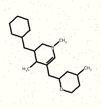 CC1CCOC(CC2=CN(C)CC(CC3CCCCC3)C2C)C1